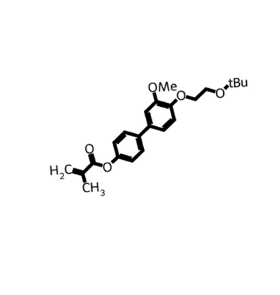 C=C(C)C(=O)Oc1ccc(-c2ccc(OCCOC(C)(C)C)c(OC)c2)cc1